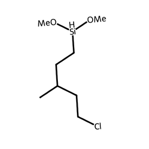 CO[SiH](CCC(C)CCCl)OC